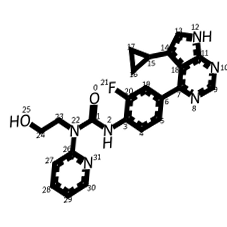 O=C(Nc1ccc(-c2ncnc3[nH]cc(C4CC4)c23)cc1F)N(CCO)c1ccccn1